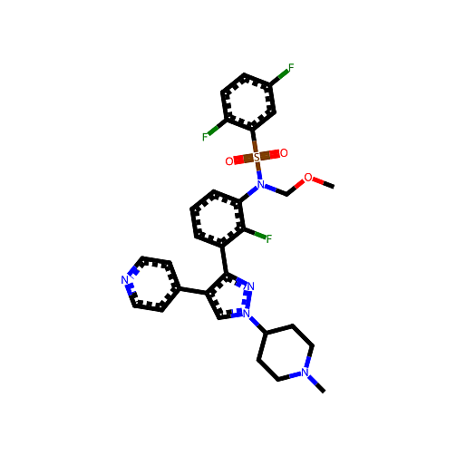 COCN(c1cccc(-c2nn(C3CCN(C)CC3)cc2-c2ccncc2)c1F)S(=O)(=O)c1cc(F)ccc1F